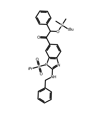 CC(C)S(=O)(=O)n1c(NCc2ccccc2)nc2ccc(C(=O)C(O[Si](C)(C)C(C)(C)C)c3ccccc3)cc21